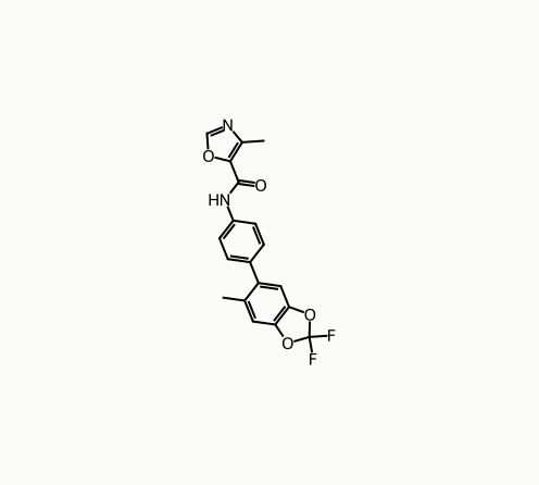 Cc1cc2c(cc1-c1ccc(NC(=O)c3ocnc3C)cc1)OC(F)(F)O2